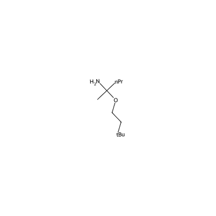 CCCC(C)(N)OCCC(C)(C)C